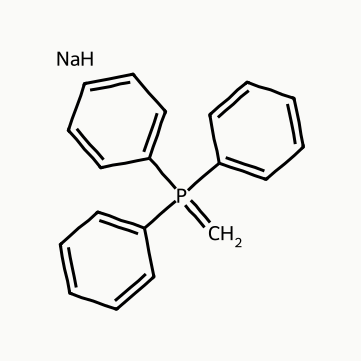 C=P(c1ccccc1)(c1ccccc1)c1ccccc1.[NaH]